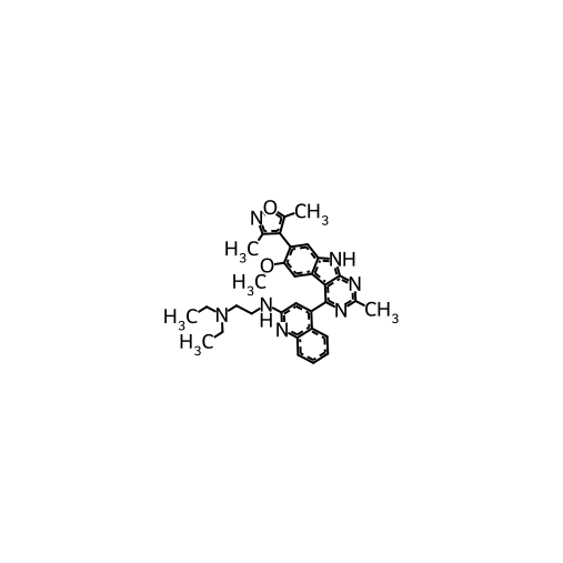 CCN(CC)CCNc1cc(-c2nc(C)nc3[nH]c4cc(-c5c(C)noc5C)c(OC)cc4c23)c2ccccc2n1